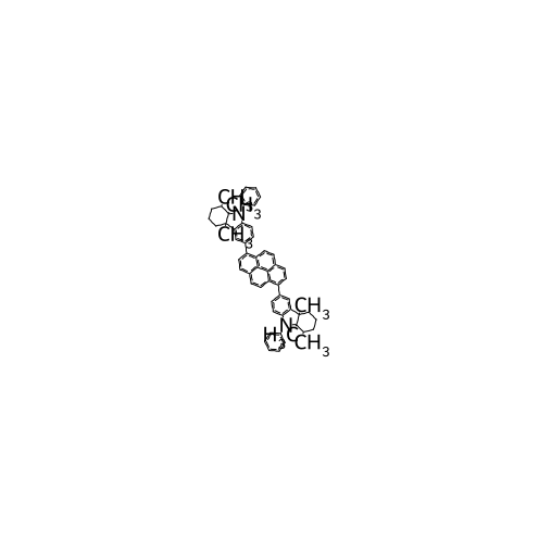 CC1CCCC2(C)c3cc(-c4ccc5ccc6c(-c7ccc8c(c7)C7(C)CCCC(C)C7(C)N8c7ccccc7)ccc7ccc4c5c76)ccc3N(c3ccccc3)C12C